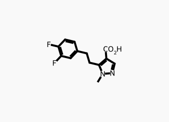 Cn1ncc(C(=O)O)c1CCc1ccc(F)c(F)c1